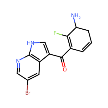 NC1CC=CC(C(=O)c2c[nH]c3ncc(Br)cc23)=C1F